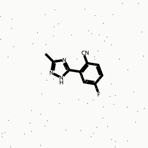 Cc1n[nH]c(-c2cc(F)ccc2C#N)n1